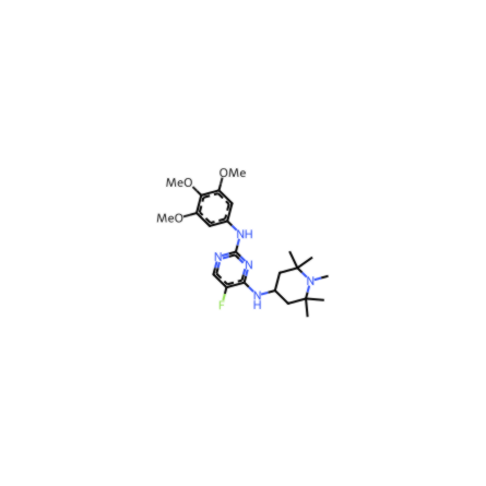 COc1cc(Nc2ncc(F)c(NC3CC(C)(C)N(C)C(C)(C)C3)n2)cc(OC)c1OC